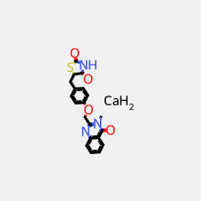 Cn1c(COc2ccc(CC3SC(=O)NC3=O)cc2)nc2ccccc2c1=O.[CaH2]